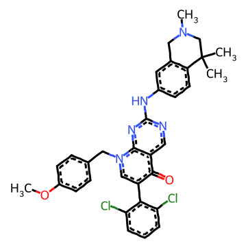 COc1ccc(Cn2cc(-c3c(Cl)cccc3Cl)c(=O)c3cnc(Nc4ccc5c(c4)CN(C)CC5(C)C)nc32)cc1